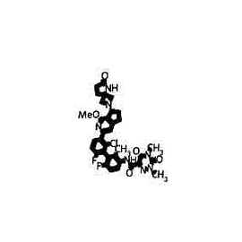 COc1nc(-c2ccc(F)c(-c3c(F)ccc(NC(=O)c4nn(C)c(=O)n(C)c4=O)c3C)c2Cl)cc2c1[C@@H](N1CC3(CCC(=O)N3)C1)CC2